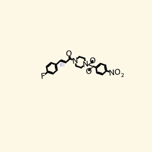 O=C(/C=C/c1ccc(F)cc1)N1CCN(S(=O)(=O)c2ccc([N+](=O)[O-])cc2)CC1